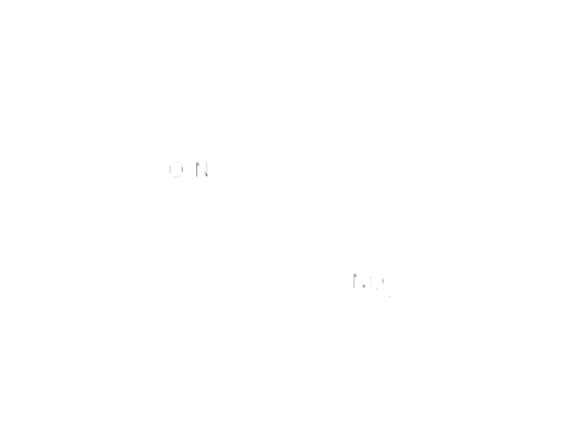 O=[N+]([O-])[C]1C=C([N+](=O)[O-])C=CC1